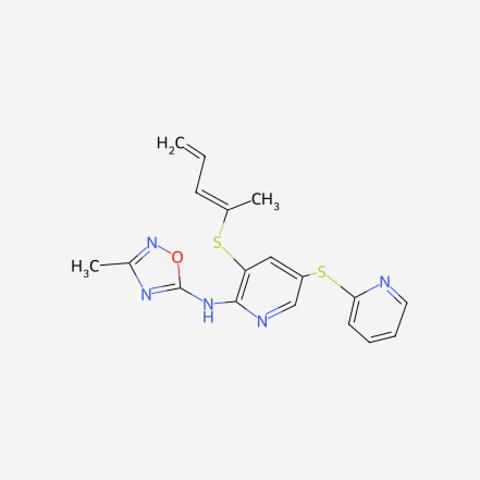 C=C/C=C(\C)Sc1cc(Sc2ccccn2)cnc1Nc1nc(C)no1